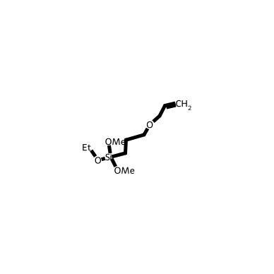 C=CCOCCC[Si](OC)(OC)OCC